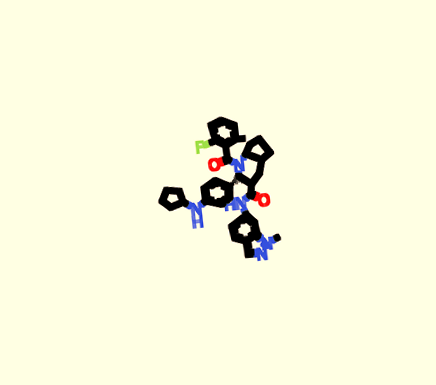 Cc1cccc(F)c1C(=O)N1C2CCCC2CC(C(=O)Nc2ccc3cnn(C)c3c2)[C@@H]1c1ccc(NC2CCCC2)cc1